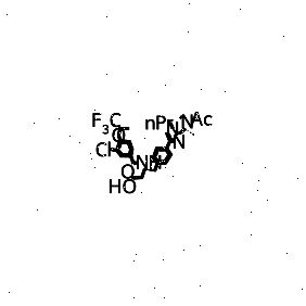 CCCn1cc(-c2ccc(C[C@@H](CCO)NC(=O)c3ccc(O[C@H](C)C(F)(F)F)c(Cl)c3)cc2)nc1[C@@H](C)N(C)C(C)=O